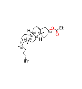 CCC(=O)O[C@H]1CC[C@@]2(C)C(=CC[C@H]3[C@@H]4CC[C@H]([C@H](C)CCCC(C)C)[C@@]4(C)CC[C@@H]32)C1